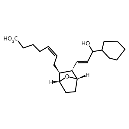 O=C(O)CCC/C=C\C[C@H]1[C@H](C=CC(O)C2CCCCC2)[C@@H]2CC[C@H]1O2